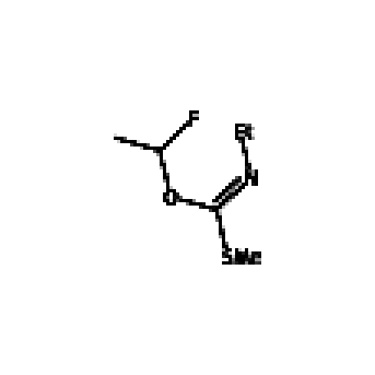 CC/N=C(\OC(C)F)SC